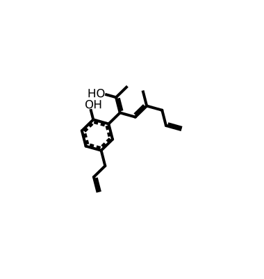 C=CC/C(C)=C/C(=C(\C)O)c1cc(CC=C)ccc1O